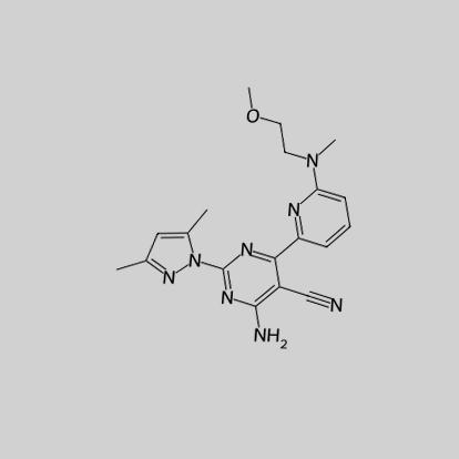 COCCN(C)c1cccc(-c2nc(-n3nc(C)cc3C)nc(N)c2C#N)n1